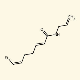 C=CCNC(=O)/C=C/CC/C=C\CC